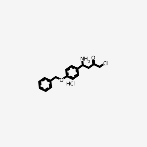 Cl.NC(CC(=O)CCl)c1ccc(OCc2ccccc2)cc1